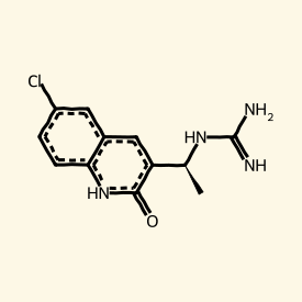 C[C@H](NC(=N)N)c1cc2cc(Cl)ccc2[nH]c1=O